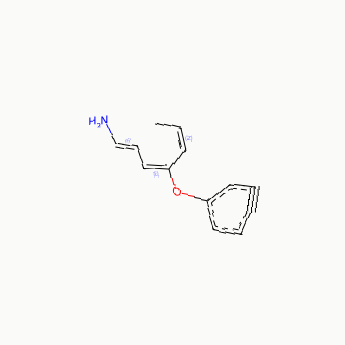 C\C=C/C(=C\C=C\N)Oc1cc#ccc1